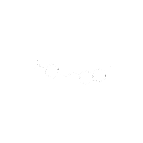 Cc1ccc2ccc(/C=C/c3ccc(N(C)C)cc3)cc2c1